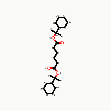 CC(C)(OC(=O)CCCCC(=O)OC(C)(C)C1CCCCC1)C1CCCCC1